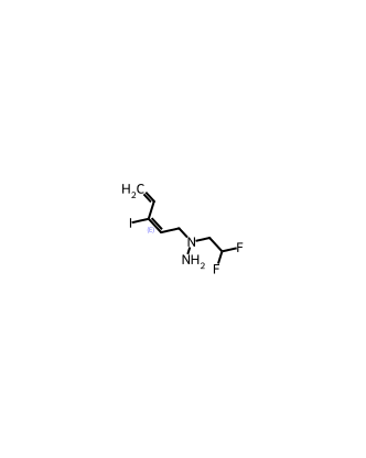 C=C/C(I)=C\CN(N)CC(F)F